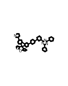 c1ccc(-c2nc(-c3ccccc3)nc(-c3cccc(-c4ccc(-c5ccc6c(c5)-c5cc(-c7cccnc7)ccc5C65c6ccccc6Oc6ccccc65)cc4)c3)n2)cc1